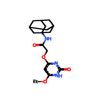 CCOc1cc(OCC(=O)NC23CC4CC(CC(C4)C2)C3)nc(=O)[nH]1